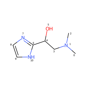 CN(C)CC(O)c1ncc[nH]1